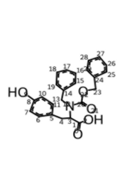 O=C(O)C(Cc1ccc(O)cc1)N(Cc1ccccc1)C(=O)OCc1ccccc1